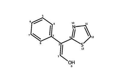 OC=C(c1ccccc1)c1nccs1